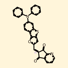 O=C1/C(=C/c2cc3sc4cc(N(c5ccccc5)c5ccccc5)ccc4c3o2)C(=O)c2ncccc21